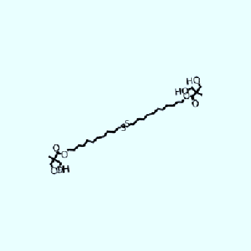 CC(CO)(CO)C(=O)OCCCCCCCCCCCSSCCCCCCCCCCCOC(=O)C(C)(CO)CO